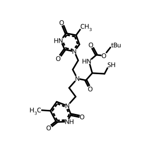 Cc1cn(CCN(CCn2cc(C)c(=O)[nH]c2=O)C(=O)C(CS)NC(=O)OC(C)(C)C)c(=O)[nH]c1=O